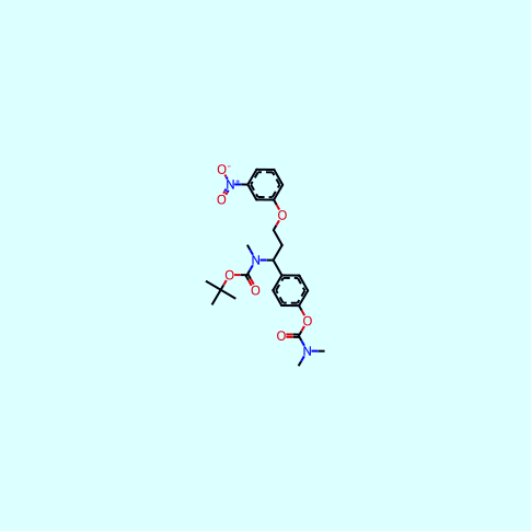 CN(C)C(=O)Oc1ccc(C(CCOc2cccc([N+](=O)[O-])c2)N(C)C(=O)OC(C)(C)C)cc1